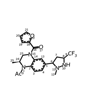 CC(=O)N1c2ccc(C3CC(C(F)(F)F)NN3C)cc2N(C(=O)c2ccco2)C[C@@H]1C